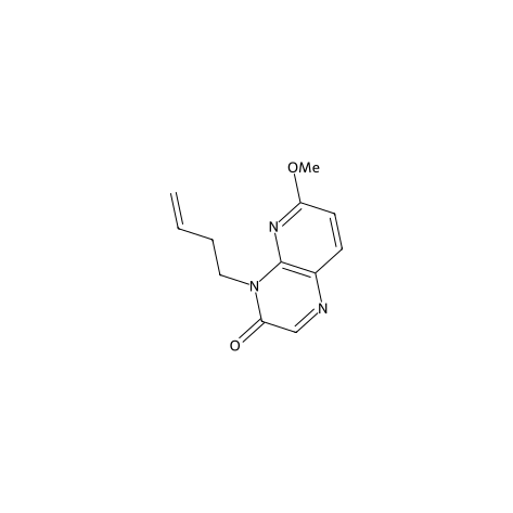 C=CCCn1c(=O)cnc2ccc(OC)nc21